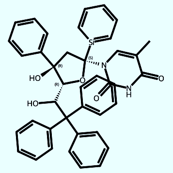 Cc1cn([C@@]2([si]3ccccc3)C[C@@](O)(c3ccccc3)[C@@H](C(O)C(c3ccccc3)(c3ccccc3)c3ccccc3)O2)c(=O)[nH]c1=O